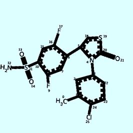 Cc1cc(-n2c(-c3cc(F)c(S(N)(=O)=O)cc3F)csc2=O)ccc1Cl